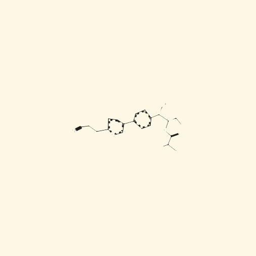 N#CCCc1ccc(-c2ccc([C@@H](O)[C@@H](CF)NC(=O)C(F)F)cc2)cn1